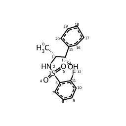 C[C@@H](NS(=O)(=O)c1ccccc1F)[C@@H](O)c1ccccc1